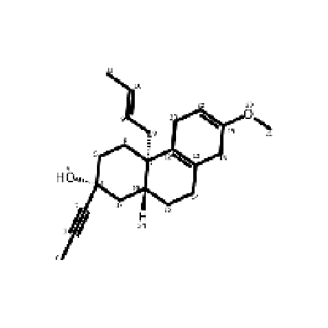 CC#C[C@@]1(O)CC[C@@]2(C/C=C/C)C3=C(CC[C@@H]2C1)CC(OC)=CC3